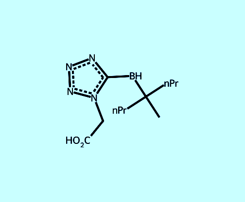 CCCC(C)(Bc1nnnn1CC(=O)O)CCC